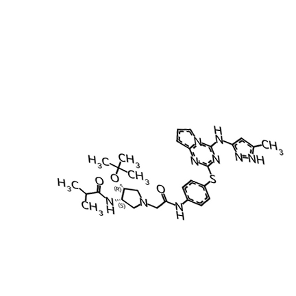 Cc1cc(Nc2nc(Sc3ccc(NC(=O)CN4C[C@H](NC(=O)C(C)C)[C@H](OC(C)(C)C)C4)cc3)nc3cccn23)n[nH]1